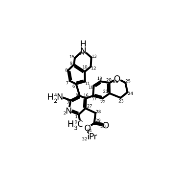 Cc1nc(N)c(-c2ccc3c(c2)CCNC3)c(-c2ccc3c(c2)CCCO3)c1CC(=O)OC(C)C